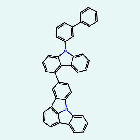 c1ccc(-c2cccc(-n3c4ccccc4c4c(-c5ccc6c(c5)c5cccc7c8ccccc8n6c75)cccc43)c2)cc1